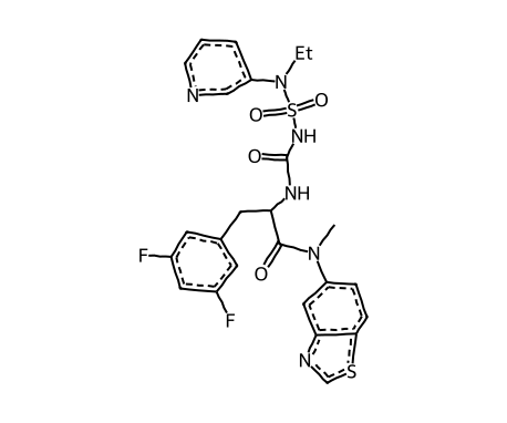 CCN(c1cccnc1)S(=O)(=O)NC(=O)NC(Cc1cc(F)cc(F)c1)C(=O)N(C)c1ccc2scnc2c1